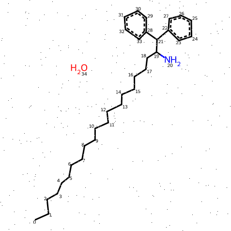 CCCCCCCCCCCCCCCCCCCC(N)C(c1ccccc1)c1ccccc1.O